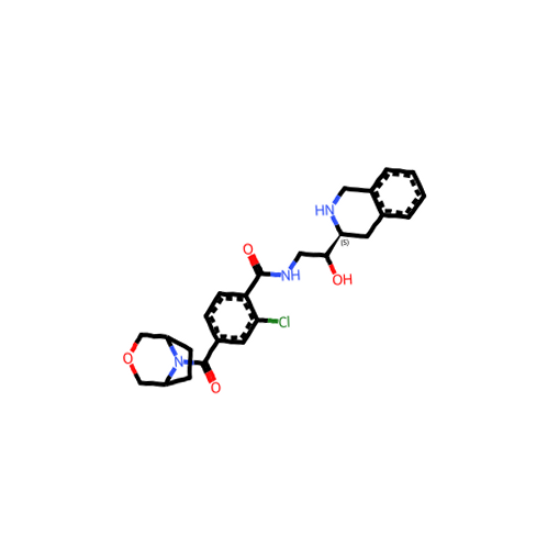 O=C(NCC(O)[C@@H]1Cc2ccccc2CN1)c1ccc(C(=O)N2C3CCC2COC3)cc1Cl